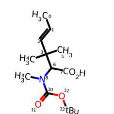 CC=CC(C)(C)C(C(=O)O)N(C)C(=O)OC(C)(C)C